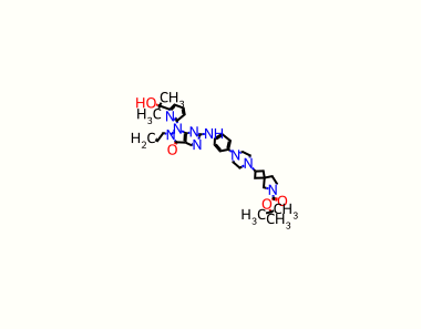 C=CCn1c(=O)c2cnc(Nc3ccc(N4CCN(C5CC6(CCN(C(=O)OC(C)(C)C)C6)C5)CC4)cc3)nc2n1-c1cccc(C(C)(C)O)n1